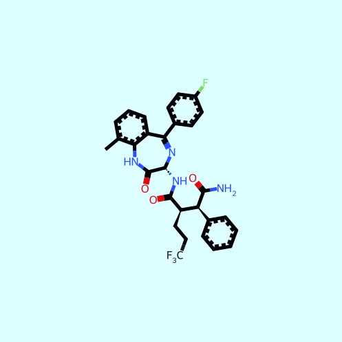 Cc1cccc2c1NC(=O)[C@@H](NC(=O)[C@H](CCC(F)(F)F)[C@@H](C(N)=O)c1ccccc1)N=C2c1ccc(F)cc1